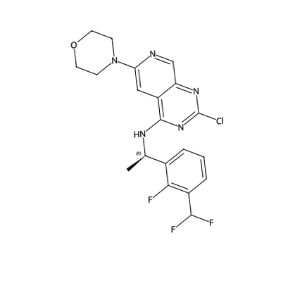 C[C@@H](Nc1nc(Cl)nc2cnc(N3CCOCC3)cc12)c1cccc(C(F)F)c1F